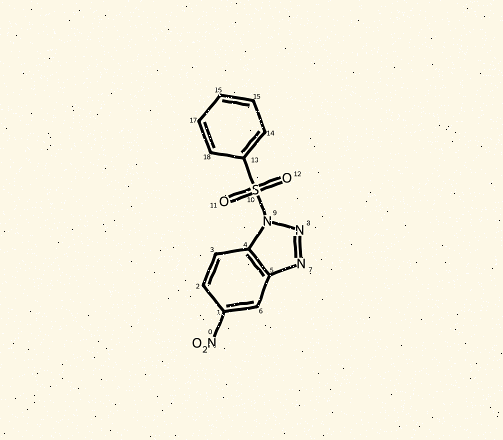 O=[N+]([O-])c1ccc2c(c1)nnn2S(=O)(=O)c1ccccc1